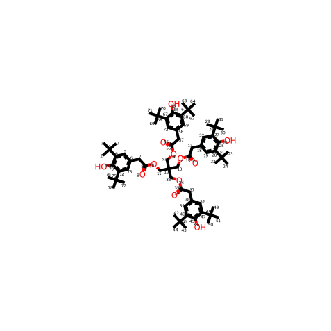 CC(C)(C)c1cc(CC(=O)OCC(COC(=O)Cc2cc(C(C)(C)C)c(O)c(C(C)(C)C)c2)(COC(=O)Cc2cc(C(C)(C)C)c(O)c(C(C)(C)C)c2)COC(=O)Cc2cc(C(C)(C)C)c(O)c(C(C)(C)C)c2)cc(C(C)(C)C)c1O